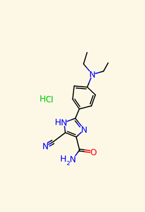 CCN(CC)c1ccc(-c2nc(C(N)=O)c(C#N)[nH]2)cc1.Cl